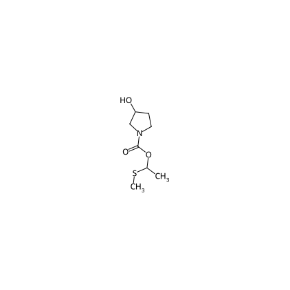 CSC(C)OC(=O)N1CCC(O)C1